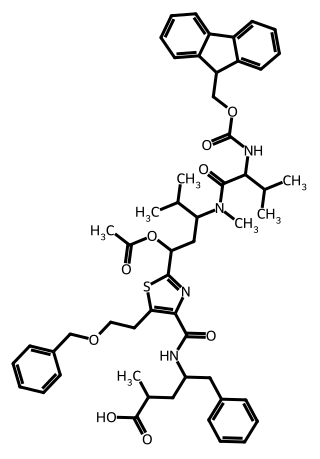 CC(=O)OC(CC(C(C)C)N(C)C(=O)C(NC(=O)OCC1c2ccccc2-c2ccccc21)C(C)C)c1nc(C(=O)NC(Cc2ccccc2)CC(C)C(=O)O)c(CCOCc2ccccc2)s1